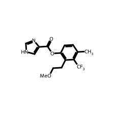 COCCc1c(OC(=O)c2c[nH]cn2)ccc(C)c1C(F)(F)F